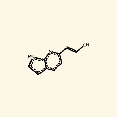 N#C/C=C/c1ccc2cc[nH]c2n1